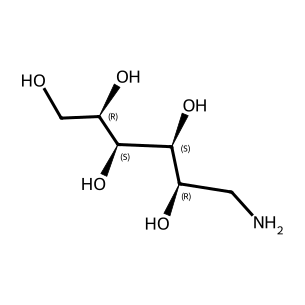 NC[C@@H](O)[C@H](O)[C@@H](O)[C@H](O)CO